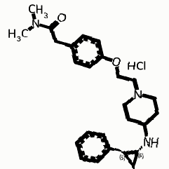 CN(C)C(=O)Cc1ccc(OCCN2CCC(N[C@@H]3C[C@H]3c3ccccc3)CC2)cc1.Cl